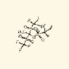 CC(OS(=O)(=O)C(F)(F)F)(S(=O)(=O)C(F)(F)F)S(=O)(=O)C(F)(F)F